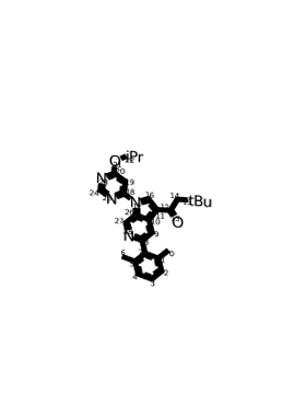 Cc1cccc(C)c1-c1cc2c(C(=O)CC(C)(C)C)cn(-c3cc(OC(C)C)ncn3)c2cn1